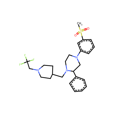 CS(=O)(=O)c1cccc(N2CCN(CC3CCN(CC(F)(F)F)CC3)C(c3ccccc3)C2)c1